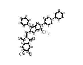 Cn1c(-c2ccc(-c3ccccc3)cc2)nc2c1cc(C=C1C(=O)c3cc(Cl)c(Cl)cc3C1=O)n2-c1ccccc1